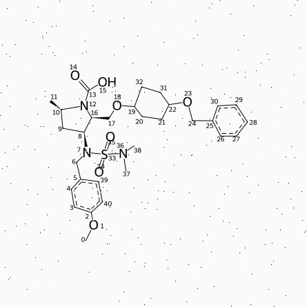 COc1ccc(CN([C@H]2C[C@@H](C)N(C(=O)O)[C@H]2COC2CCC(OCc3ccccc3)CC2)S(=O)(=O)N(C)C)cc1